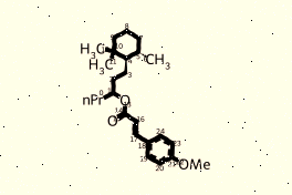 CCCC(CC[C@@H]1[C@@H](C)CCCC1(C)C)OC(=O)/C=C/c1ccc(OC)cc1